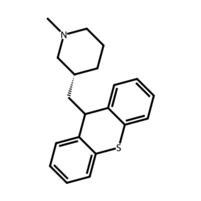 CN1CCC[C@H](CC2c3ccccc3Sc3ccccc32)C1